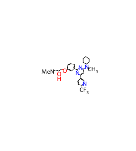 CNCC(O)COc1cccc(-c2nc(-c3ccc(C(F)(F)F)nc3)cc(N(C)C3CCCCC3)n2)c1